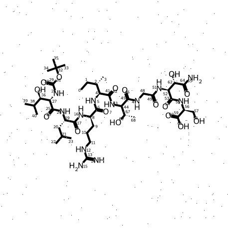 CC[C@H](C)[C@H](NC(=O)[C@@H](CCCNC(=N)N)NC(=O)[C@H](CC(C)C)NC(=O)[C@@H](NC(=O)OC(C)(C)C)[C@H](O)C(C)C)C(=O)NC(C(=O)NCC(=O)N[C@H](C(=O)N[C@@H](CO)C(=O)O)[C@H](O)C(N)=O)[C@H](C)O